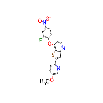 COc1ccc(-c2cc3nccc(Oc4ccc([N+](=O)[O-])cc4F)c3s2)nc1